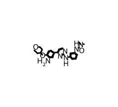 CN(C)C(=O)Nc1cccc(Nc2nccc(-c3ccc(OC4CCOCC4)c(N)c3)n2)c1